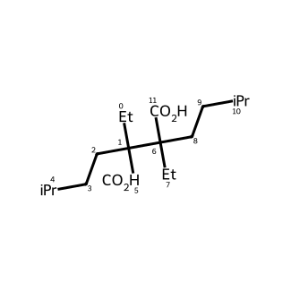 CCC(CCC(C)C)(C(=O)O)C(CC)(CCC(C)C)C(=O)O